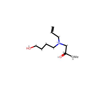 C=CCN(CCCCO)CC(=O)OC